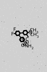 CCc1cc(-c2cc(F)c(F)cc2-c2ccc(S(N)(=O)=O)cc2)ccc1N(C)C